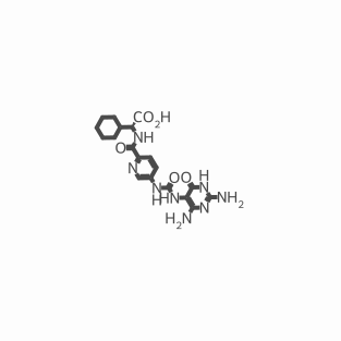 Nc1nc(N)c(NC(=O)Nc2ccc(C(=O)N[C@H](C(=O)O)C3CCCCC3)nc2)c(=O)[nH]1